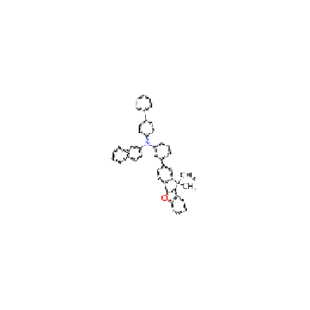 CC1(C)c2cc(-c3cccc(N(c4ccc(-c5ccccc5)cc4)c4ccc5ccccc5c4)c3)ccc2-c2oc3ccccc3c21